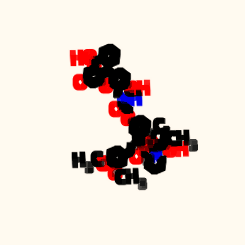 CCC(C)(C)C(O)C(=O)N1CCCC[C@H]1C(=O)O[C@H](CCc1ccc(OC)c(OC)c1)c1cccc(OCC(=O)NCc2c(O)ccc3c(-c4ccccc4C(=O)O)c4ccc(=O)cc-4oc23)c1